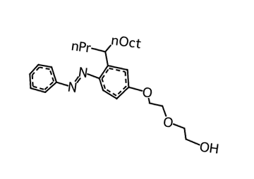 CCCCCCCCC(CCC)c1cc(OCCOCCO)ccc1N=Nc1ccccc1